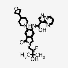 CC(C)(O)[C@H](F)CN1Cc2cc(NC(O)c3cnn4cccnc34)c(N3CCC(C4COC4)CC3)cc2C1=O